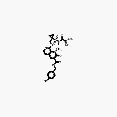 C[C@H](N)C(=O)NS(=O)(=O)C1(COc2nccc3cc(C(=O)NCc4ccc(C#N)cc4)c(=O)n(C)c23)CC1